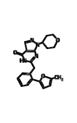 Cc1ccc(-c2ccccc2Cc2nc3c(cnn3C3CCOCC3)c(=O)[nH]2)o1